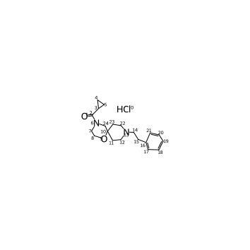 Cl.O=C(C1CC1)N1CCOC2(CCN(CCc3ccccc3)CC2)C1